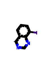 Ic1cccc2[c]ncnc12